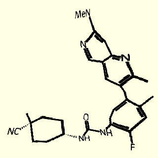 CNc1cc2nc(C)c(-c3cc(NC(=O)N[C@H]4CC[C@@](C)(C#N)CC4)c(F)cc3C)cc2cn1